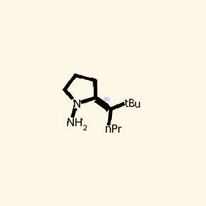 CCC/C(=C1/CCCN1N)C(C)(C)C